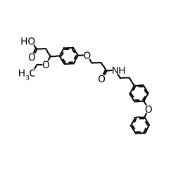 CCOC(CC(=O)O)c1ccc(OCCC(=O)NCCc2ccc(Oc3ccccc3)cc2)cc1